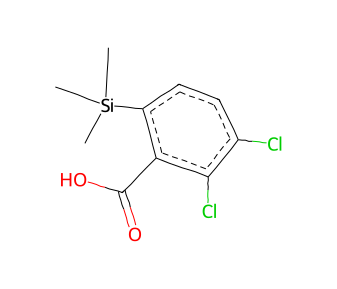 C[Si](C)(C)c1ccc(Cl)c(Cl)c1C(=O)O